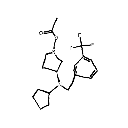 CC(=O)ON1CC[C@H](N(Cc2cccc(C(F)(F)F)c2)C2CCCC2)C1